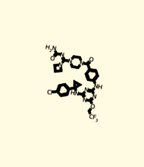 NC(=O)N=C(N1CCC1)N1CCN(C(=O)c2ccc(Nc3nc(NC4(c5ccc(Cl)cc5)CC4)nc(OCC(F)(F)F)n3)cc2)CC1